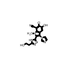 Cn1c(-c2nnc(CCO)[nH]2)c(-n2ccnc2)c2cc(O)c(Cl)c(C#N)c21